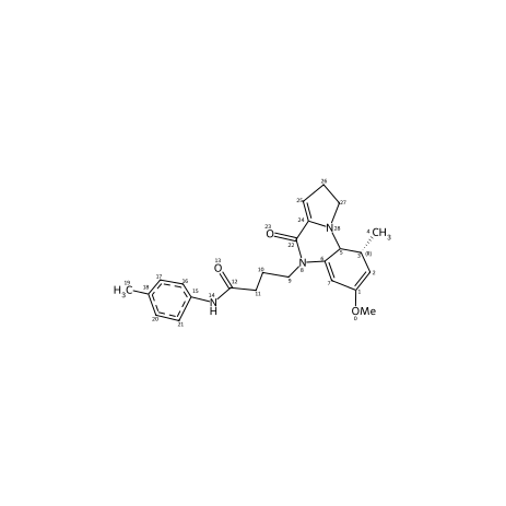 COC1=C[C@@H](C)C2C(=C1)N(CCCC(=O)Nc1ccc(C)cc1)C(=O)C1=CCCN12